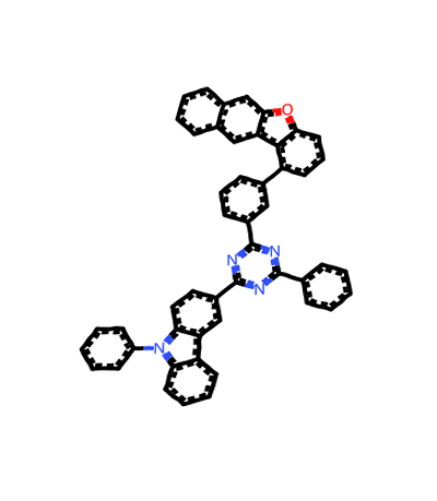 c1ccc(-c2nc(-c3cccc(-c4cccc5oc6cc7ccccc7cc6c45)c3)nc(-c3ccc4c(c3)c3ccccc3n4-c3ccccc3)n2)cc1